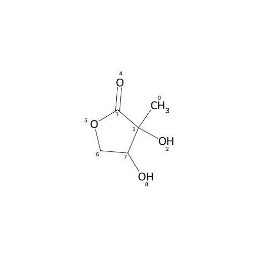 CC1(O)C(=O)OCC1O